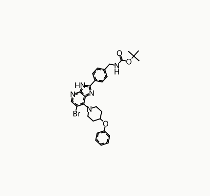 CC(C)(C)OC(=O)NCc1ccc(-c2nc3c(N4CCC(Oc5ccccc5)CC4)c(Br)cnc3[nH]2)cc1